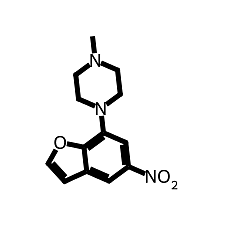 CN1CCN(c2cc([N+](=O)[O-])cc3ccoc23)CC1